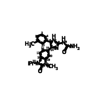 Cc1cccc(-c2[nH]c(NC(N)=O)nc2-c2ccc3c(c2)n(C)c(=O)n3C(C)C)c1